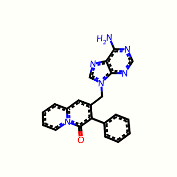 Nc1ncnc2c1ncn2Cc1cc2ccccn2c(=O)c1-c1ccccc1